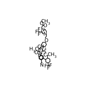 COC(=O)CN1CCN(CCO[C@H]2CC[C@H](N3C(=S)N(c4ccc(C#N)c(C5CC(C(F)(F)F)CCC5C(C)C)c4)C(=O)C3(C)C)CC2)C[C@@H]1C(F)(F)F